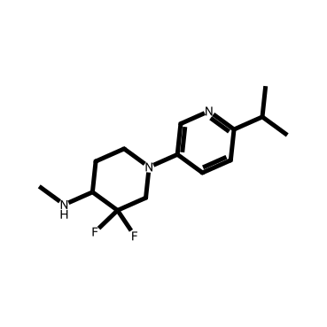 CNC1CCN(c2ccc(C(C)C)nc2)CC1(F)F